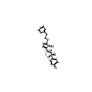 CCn1c(SCCc2ccccn2)nnc1[C@@H](C)NS(=O)(=O)c1ccc(Cl)cc1